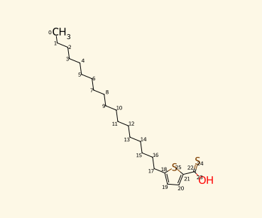 CCCCCCCCCCCCCCCCCCc1ccc(C(O)=S)s1